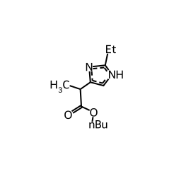 CCCCOC(=O)C(C)c1c[nH]c(CC)n1